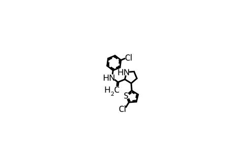 C=C(Nc1cccc(Cl)c1)C1NCCC1c1ccc(Cl)s1